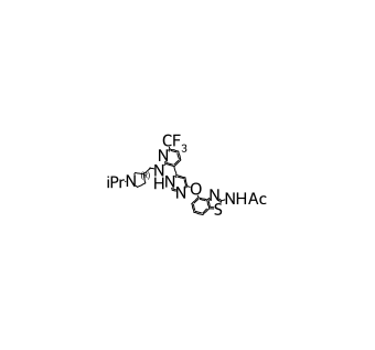 CC(=O)Nc1nc2c(Oc3cc(-c4ccc(C(F)(F)F)nc4NC[C@H]4CCN(C(C)C)C4)ncn3)cccc2s1